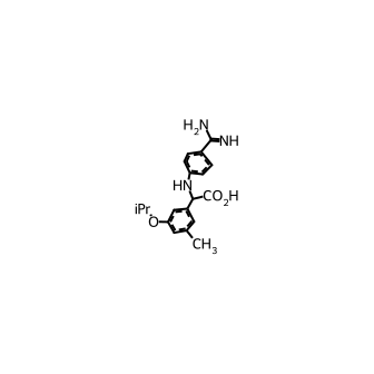 Cc1cc(OC(C)C)cc(C(Nc2ccc(C(=N)N)cc2)C(=O)O)c1